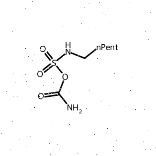 CCCCCCNS(=O)(=O)OC(N)=O